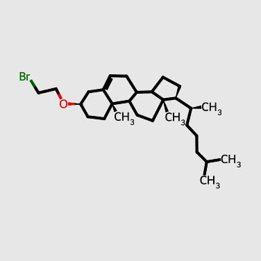 CC(C)CCC[C@H](C)[C@@H]1CCC2C3CC=C4C[C@H](OCCBr)CC[C@@]4(C)C3CC[C@]21C